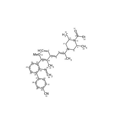 C=CC(=C\C=C(/C)N1CC(C)N(C(=O)CC)C(C)C1)/C(C)=C(\OC)c1cccc(-c2ccc(C#N)cc2)c1N=C